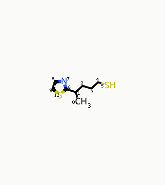 CC(CCCS)c1nccs1